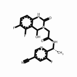 C[C@@H](NC(=O)CN1C(=O)Nc2ccc(F)c(F)c2C1O)c1ncc(C#N)cc1F